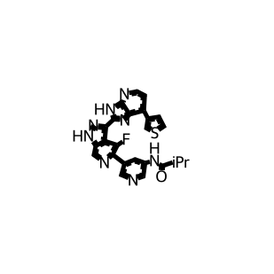 CC(C)C(=O)Nc1cncc(-c2ncc3[nH]nc(-c4nc5c(-c6ccsc6)ccnc5[nH]4)c3c2F)c1